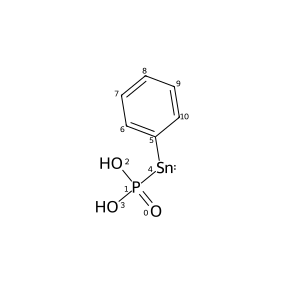 O=[P](O)(O)[Sn][c]1ccccc1